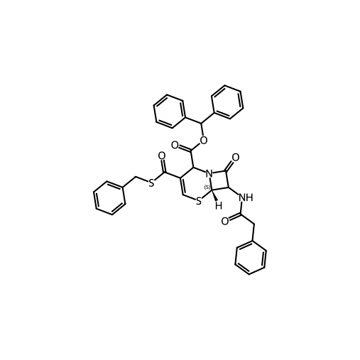 O=C(Cc1ccccc1)NC1C(=O)N2C(C(=O)OC(c3ccccc3)c3ccccc3)C(C(=O)SCc3ccccc3)=CS[C@@H]12